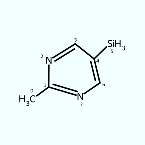 Cc1ncc([SiH3])cn1